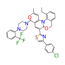 CCc1cccc(CC)c1-n1c(C=C(C)C)c(C(=O)N2CCN(c3ccccc3C(F)(F)F)CC2)cc(-c2nc(-c3ccc(Cl)cc3)cs2)c1=O